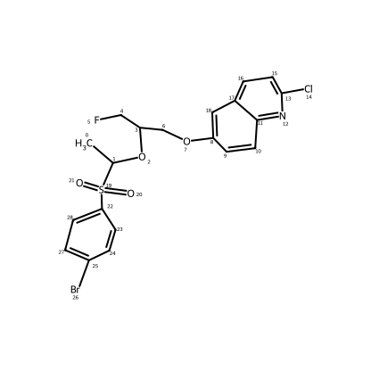 CC(OC(CF)COc1ccc2nc(Cl)ccc2c1)S(=O)(=O)c1ccc(Br)cc1